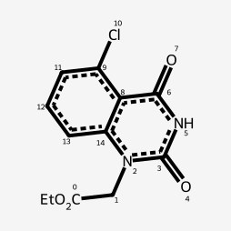 CCOC(=O)Cn1c(=O)[nH]c(=O)c2c(Cl)cccc21